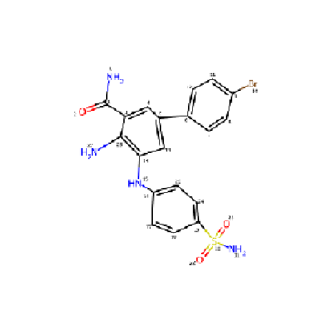 NC(=O)c1cc(-c2ccc(Br)cc2)cc(Nc2ccc(S(N)(=O)=O)cc2)c1N